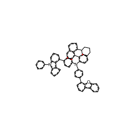 c1ccc(-n2c3ccccc3c3c(-c4ccc(N(c5ccc(-c6cccc7c6oc6ccccc67)cc5)c5ccccc5-c5cccc6cccc(C7CCCCC7)c56)cc4)cccc32)cc1